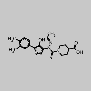 CC=NN(C(=S)N1CCC(C(=O)O)CC1)c1csc(-c2ccc(C)c(C)c2)c1O